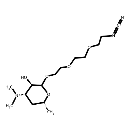 C[C@@H]1C[C@H](N(C)C)[C@@H](O)C(OCCOCCOCCN=[N+]=[N-])O1